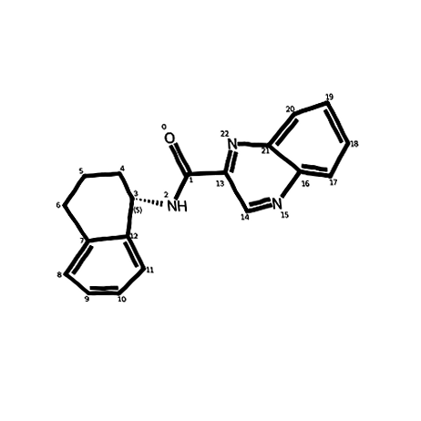 O=C(N[C@H]1CCCc2ccccc21)c1cnc2ccccc2n1